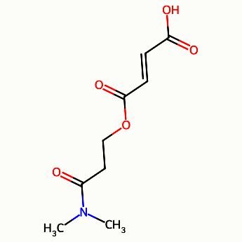 CN(C)C(=O)CCOC(=O)C=CC(=O)O